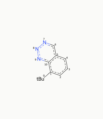 CC(C)(C)c1cccc2cnnnc12